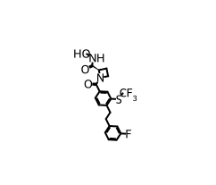 O=C(NO)[C@H]1CCN1C(=O)c1ccc(CCc2cccc(F)c2)c(SC(F)(F)F)c1